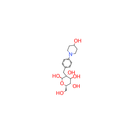 OC[C@H]1O[C@@H](O)[C@@](O)(Cc2ccc(N3CCC(O)CC3)cc2)[C@@H](O)[C@@H]1O